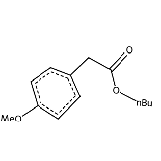 CCCCOC(=O)Cc1ccc(OC)cc1